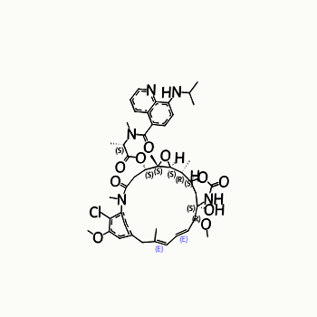 COc1cc2cc(c1Cl)N(C)C(=O)C[C@H](OC(=O)[C@H](C)N(C)C(=O)c1ccc(NC(C)C)c3ncccc13)[C@]1(C)O[C@H]1[C@H](C)[C@@H]1C[C@@](O)(NC(=O)O1)[C@H](OC)/C=C/C=C(\C)C2